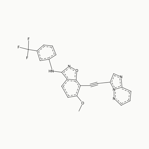 COc1ccc2c(Nc3cccc(C(F)(F)F)c3)noc2c1C#Cc1cnc2cccnn12